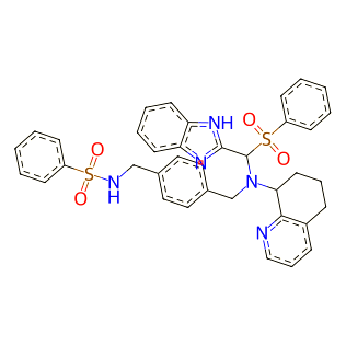 O=S(=O)(NCc1ccc(CN(C2CCCc3cccnc32)C(c2nc3ccccc3[nH]2)S(=O)(=O)c2ccccc2)cc1)c1ccccc1